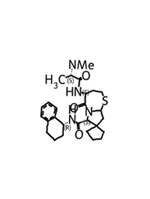 CN[C@@H](C)C(=O)N[C@H]1CCSC2CC3(CCCC3)[C@@H](C(=O)N[C@@H]3CCCc4ccccc43)N2C1=O